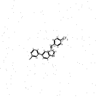 Cc1cccc(-c2ccc3c(c2)[SH](Cc2ccc(C(F)(F)F)cc2)C=N3)c1